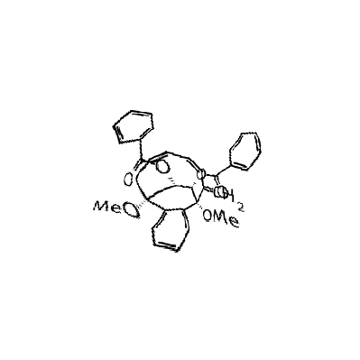 C=C1/C=C\C=C/C[C@]2(OC)c3ccccc3[C@@]1(OC)[C@@H](OC(=O)c1ccccc1)[C@H]2OC(=O)c1ccccc1